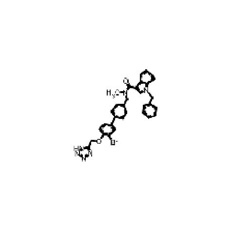 CN(Cc1ccc(-c2ccc(OCc3nnn[nH]3)c(Br)c2)cc1)C(=O)c1cn(Cc2ccccc2)c2ccccc12